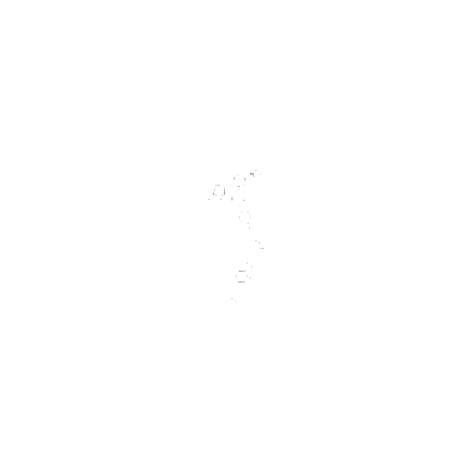 CCCS(=O)(=O)Nc1cccc(-c2nc(-c3ccc(N4CCN(C(=O)C5CCN(c6ccc([C@H]7CCC(=O)NC7=O)cn6)CC5)CC4)cc3)sc2-c2ccnc(N)n2)c1F